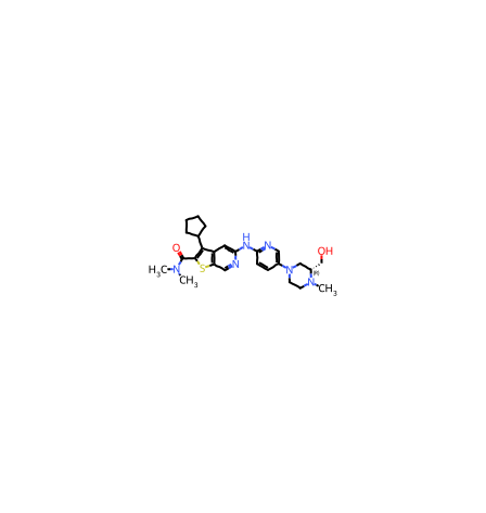 CN(C)C(=O)c1sc2cnc(Nc3ccc(N4CCN(C)[C@@H](CO)C4)cn3)cc2c1C1CCCC1